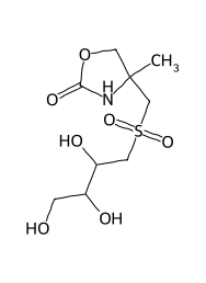 CC1(CS(=O)(=O)CC(O)C(O)CO)COC(=O)N1